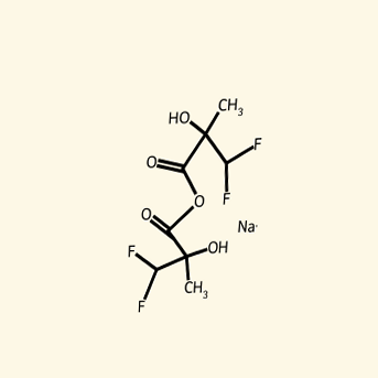 CC(O)(C(=O)OC(=O)C(C)(O)C(F)F)C(F)F.[Na]